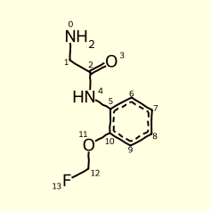 NCC(=O)Nc1ccccc1OCF